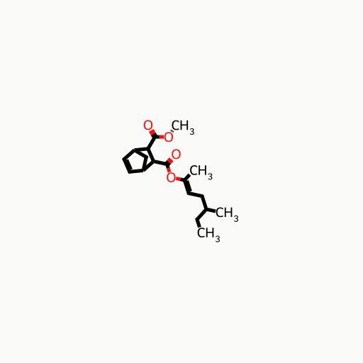 CCC(C)C/C=C(\C)OC(=O)C1C2C=CC(C2)C1C(=O)OC